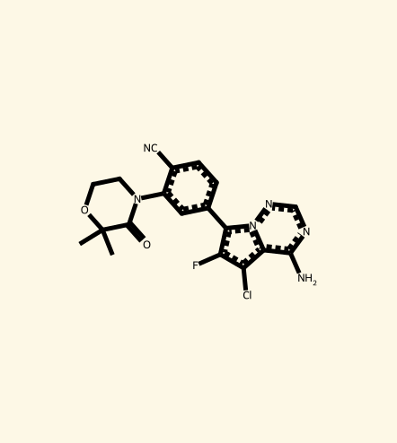 CC1(C)OCCN(c2cc(-c3c(F)c(Cl)c4c(N)ncnn34)ccc2C#N)C1=O